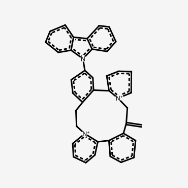 C=C1C[n+]2ccccc2-c2cc(-n3c4ccccc4c4ccccc43)ccc2CC[n+]2ccccc2-c2ccccc21